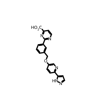 O=C(O)c1ccnc(-c2cccc(COc3ccc(-c4ccn[nH]4)nc3)c2)n1